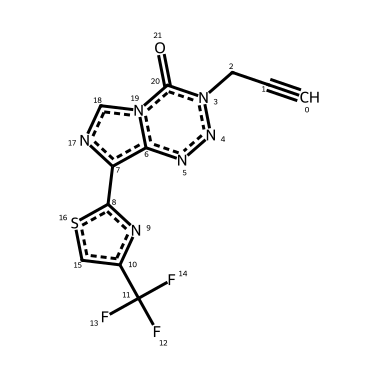 C#CCn1nnc2c(-c3nc(C(F)(F)F)cs3)ncn2c1=O